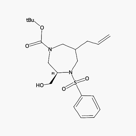 C=CCC1CN(C(=O)OC(C)(C)C)C[C@H](CO)N(S(=O)(=O)c2ccccc2)C1